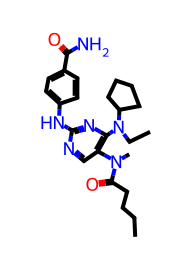 CCCCC(=O)N(C)c1cnc(Nc2ccc(C(N)=O)cc2)nc1N(CC)C1CCCC1